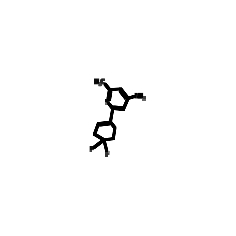 Cc1cc(N)cc(C2=CCC(F)(F)CC2)n1